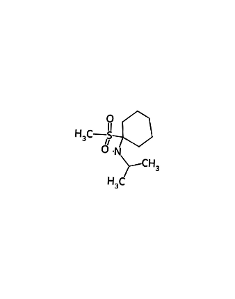 CC(C)[N]C1(S(C)(=O)=O)CCCCC1